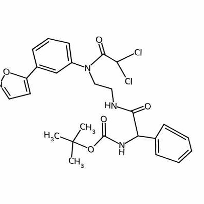 CC(C)(C)OC(=O)NC(C(=O)NCCN(C(=O)C(Cl)Cl)c1cccc(-c2ccno2)c1)c1ccccc1